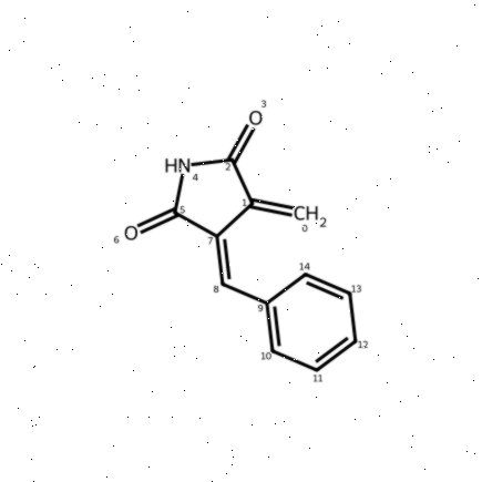 C=C1C(=O)NC(=O)C1=Cc1ccccc1